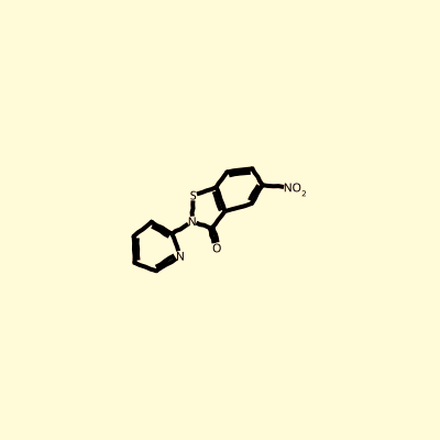 O=c1c2cc([N+](=O)[O-])ccc2sn1-c1ccccn1